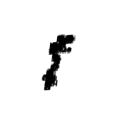 COc1c(N2CC3(CCN(CC4CCN(c5ccc6c(c5)C(=O)N(C5CCC(=O)NC5=O)C6=O)CC4)CC3)C2)cccc1S(=O)(=O)Nc1noc2cc(Cn3cccn3)c3c(c12)OCC3